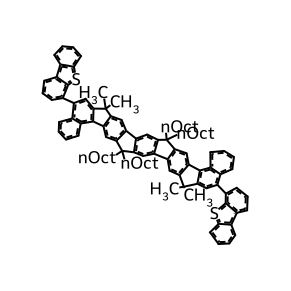 CCCCCCCCC1(CCCCCCCC)c2cc3c(cc2-c2cc4c(cc21)-c1cc2c(cc1C4(CCCCCCCC)CCCCCCCC)-c1c(cc(-c4cccc5c4sc4ccccc45)c4ccccc14)C2(C)C)C(C)(C)c1cc(-c2cccc4c2sc2ccccc24)c2ccccc2c1-3